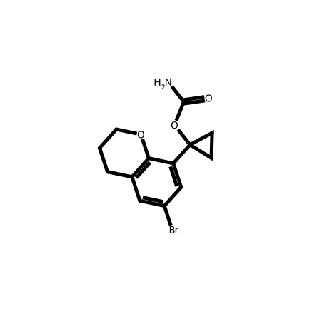 NC(=O)OC1(c2cc(Br)cc3c2OCCC3)CC1